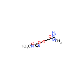 Cn1cc(N)c(C(=O)CCCCOCCOc2cc(-c3nc(C(=O)O)co3)ccn2)n1